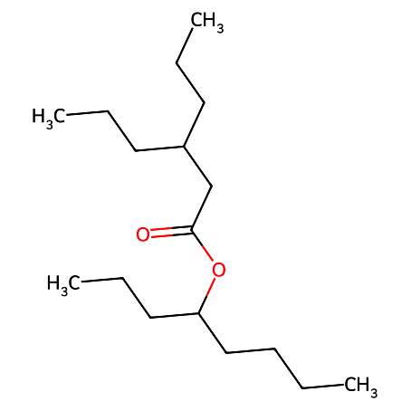 CCCCC(CCC)OC(=O)CC(CCC)CCC